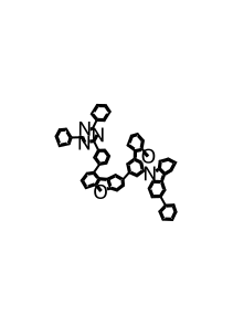 c1ccc(-c2ccc3c(c2)c2ccccc2n3-c2cc(-c3ccc4oc5cccc(-c6cccc(-c7nc(-c8ccccc8)nc(-c8ccccc8)n7)c6)c5c4c3)cc3c2oc2ccccc23)cc1